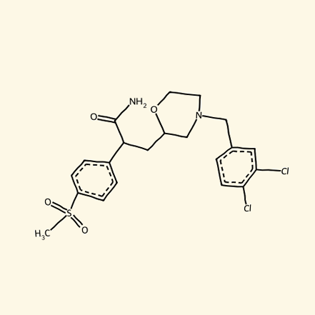 CS(=O)(=O)c1ccc(C(CC2CN(Cc3ccc(Cl)c(Cl)c3)CCO2)C(N)=O)cc1